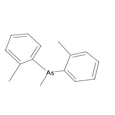 Cc1ccccc1[As](C)c1ccccc1C